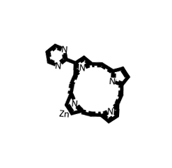 C1=Cc2cc3cc(-c4ncccn4)c(cc4nc(cc5ccc(cc1n2)[nH]5)C=C4)[nH]3.[Zn]